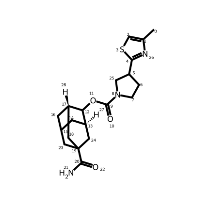 Cc1csc(C2CCN(C(=O)OC3[C@@H]4CC5C[C@H]3CC(C(N)=O)(C5)C4)C2)n1